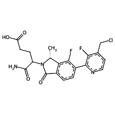 C[C@@H]1c2c(ccc(-c3nccc(CCl)c3F)c2F)C(=O)N1C(CCC(=O)O)C(N)=O